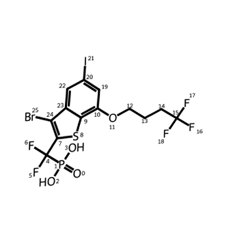 O=P(O)(O)C(F)(F)c1sc2c(OCCCC(F)(F)F)cc(I)cc2c1Br